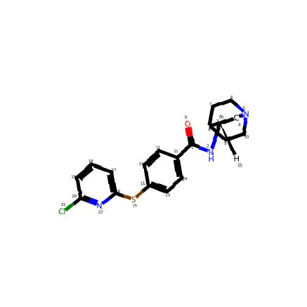 O=C(N[C@H]1CN2CCC1CC2)c1ccc(Sc2cccc(Cl)n2)cc1